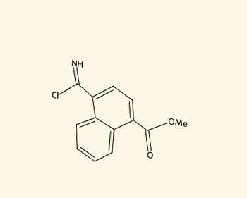 COC(=O)c1ccc(C(=N)Cl)c2ccccc12